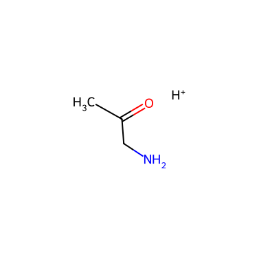 CC(=O)CN.[H+]